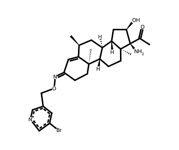 CC(=O)[C@@]1(N)[C@H](O)C[C@H]2[C@@H]3C[C@H](C)C4=C/C(=N/OCc5cncc(Br)c5)CC[C@]4(C)[C@H]3CC[C@@]21C